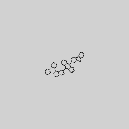 c1ccc(-c2ccccc2-c2cccc3ccc(-c4c5ccccc5c(-c5ccc6c(c5)oc5ccccc56)c5ccccc45)cc23)cc1